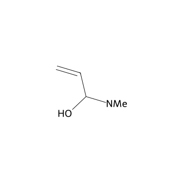 [CH2]NC(O)C=C